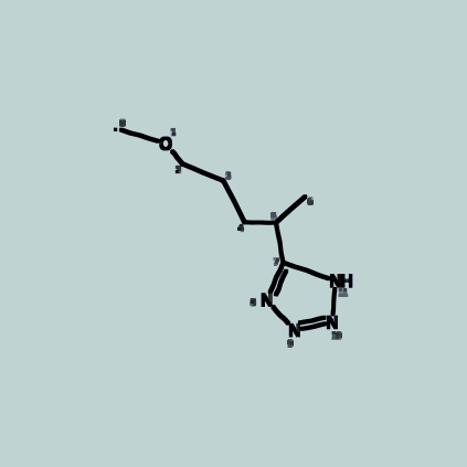 [CH2]OCCCC(C)c1nnn[nH]1